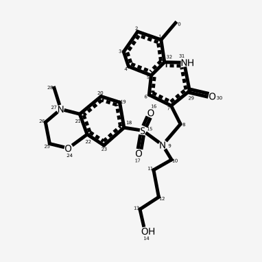 Cc1cccc2cc(CN(CCCCO)S(=O)(=O)c3ccc4c(c3)OCCN4C)c(=O)[nH]c12